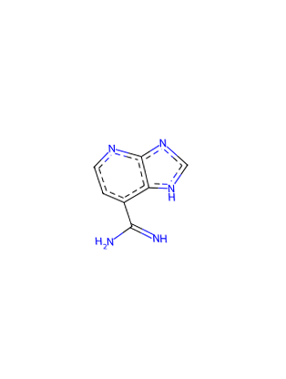 N=C(N)c1ccnc2nc[nH]c12